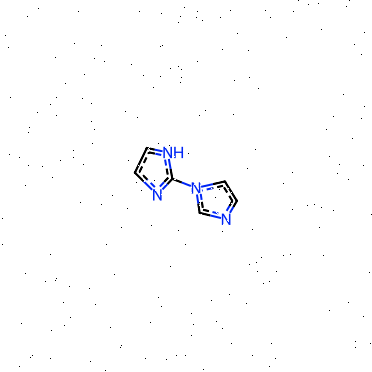 c1cn(-c2ncc[nH]2)cn1